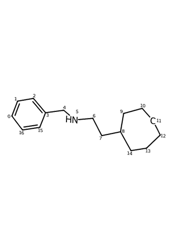 c1ccc(CNCCC2CCCCCC2)cc1